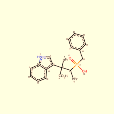 CCCC(C(CCC)(C(=O)O)c1c[nH]c2ccccc12)P(=O)(O)Cc1ccccc1